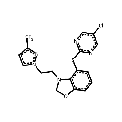 FC(F)(F)c1ccn(CCN2COc3cccc(Sc4ncc(Cl)cn4)c32)n1